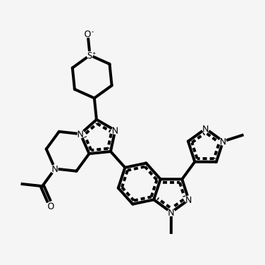 CC(=O)N1CCn2c(C3CC[S+]([O-])CC3)nc(-c3ccc4c(c3)c(-c3cnn(C)c3)nn4C)c2C1